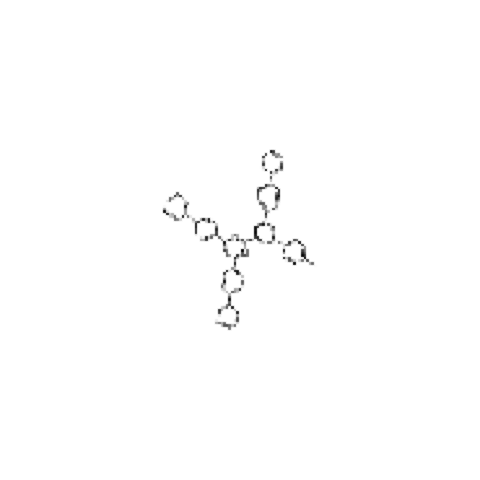 Cc1ccc(-c2cc(-c3ccc(-c4ccccc4)cc3)cc(-c3nc(-c4ccc(-c5ccccc5)cc4)nc(-c4ccc(-c5ccccc5)cc4)n3)c2)cc1